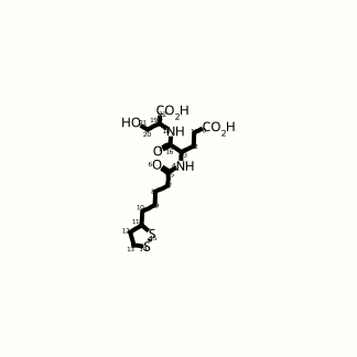 O=C(O)CCC(NC(=O)CCCCC1CCSS1)C(=O)NC(CO)C(=O)O